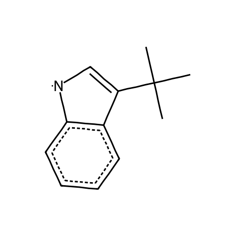 CC(C)(C)C1=C[N]c2ccccc21